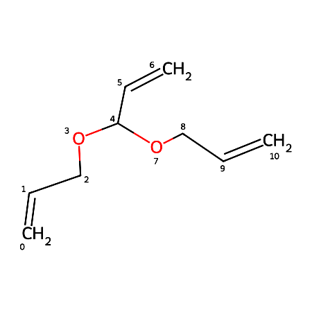 C=CCOC(C=C)OCC=C